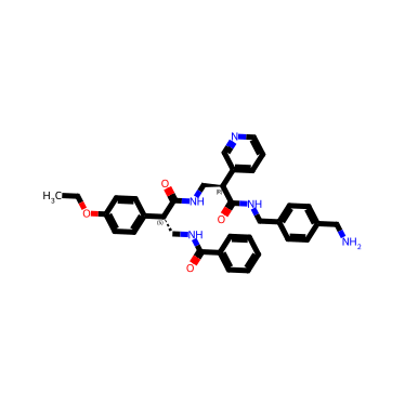 CCOc1ccc([C@@H](CNC(=O)c2ccccc2)C(=O)NC[C@H](C(=O)NCc2ccc(CN)cc2)c2cccnc2)cc1